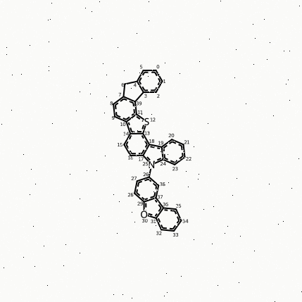 c1ccc2c(c1)Cc1ccc3c(sc4c3ccc3c4c4ccccc4n3-c3ccc4oc5ccccc5c4c3)c1-2